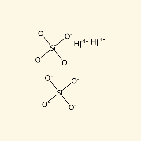 [Hf+4].[Hf+4].[O-][Si]([O-])([O-])[O-].[O-][Si]([O-])([O-])[O-]